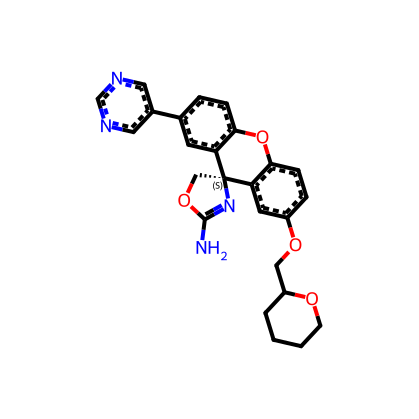 NC1=N[C@]2(CO1)c1cc(OCC3CCCCO3)ccc1Oc1ccc(-c3cncnc3)cc12